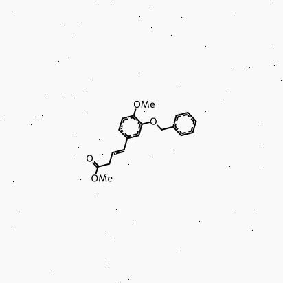 COC(=O)C/C=C/c1ccc(OC)c(OCc2ccccc2)c1